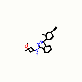 C#Cc1ccc(-c2nnc(NC3CC(C)(OC)C3)c3ccccc23)c(C)c1